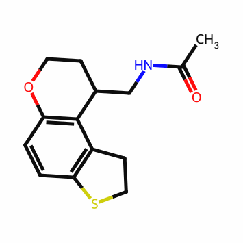 CC(=O)NCC1CCOc2ccc3c(c21)CCS3